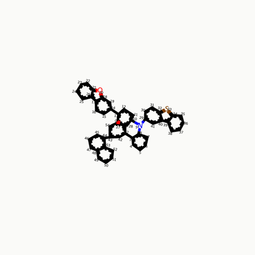 c1cc(-c2ccccc2N(c2ccc(-c3ccc4c(c3)oc3ccccc34)cc2)c2ccc3sc4ccccc4c3c2)cc(-c2cccc3ccccc23)c1